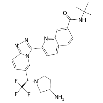 CC(C)(C)NC(=O)c1ccc2ccc(-c3nnc4ccc([C@@H](N5CCC(N)C5)C(F)(F)F)cn34)nc2c1